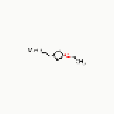 C=CCOc1ccc(CCCOC)cc1